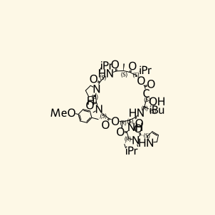 CC[C@H](C)[C@H]1NC(=O)[C@@H](NC(=O)[C@@H](CC(C)C)N(C)C(=O)[C@@H]2C=CCN2)[C@@H](C)OC(=O)[C@H](Cc2ccc(OC)cc2)N(C)C(=O)[C@@H]2CCCN2C(=O)[C@H](CC(C)C)NC(=O)[C@@H](C)C(=O)[C@H](C(C)C)OC(=O)C[C@@H]1O